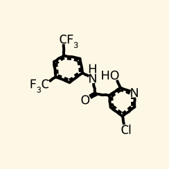 O=C(Nc1cc(C(F)(F)F)cc(C(F)(F)F)c1)c1cc(Cl)cnc1O